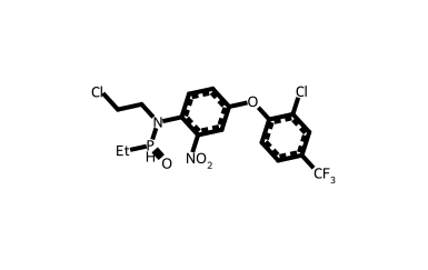 CC[PH](=O)N(CCCl)c1ccc(Oc2ccc(C(F)(F)F)cc2Cl)cc1[N+](=O)[O-]